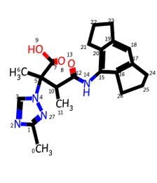 Cc1ncn(C(C)(C(=O)O)C(C)C(=O)Nc2c3c(cc4c2CCC4)CCC3)n1